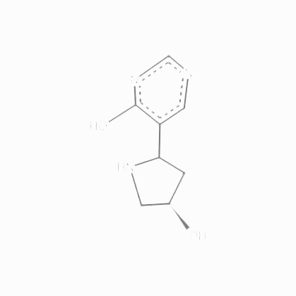 Oc1ncncc1C1C[C@@H](O)CN1